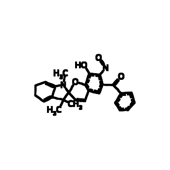 CN1C2=CCCC=C2C(C)(C)C12C=Cc1cc(C(=O)c3ccccc3)c(N=O)c(O)c1O2